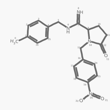 Cc1ccc(CNC(=N)C2CCC(=O)N2Cc2ccc([N+](=O)[O-])cc2)cc1